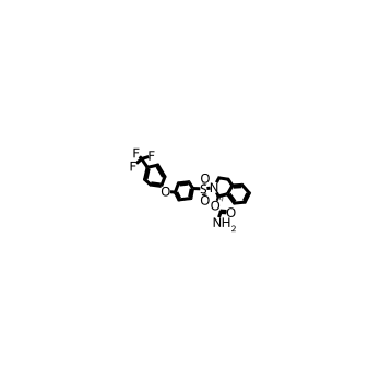 NC(=O)O[C@@H]1c2ccccc2CCN1S(=O)(=O)c1ccc(Oc2ccc(C(F)(F)F)cc2)cc1